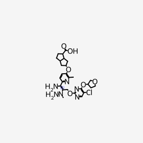 Cc1nc(/C(N)=C(\COc2ncc(Cl)c(OC3CCOC3)n2)N(C)N)ccc1OC1CC2CCC(C(=O)O)C2C1